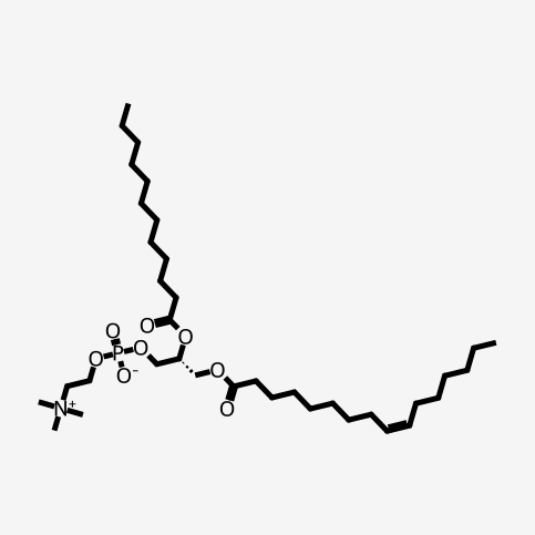 CCCCCC/C=C\CCCCCCCC(=O)OC[C@H](COP(=O)([O-])OCC[N+](C)(C)C)OC(=O)CCCCCCCCCCC